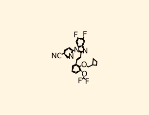 N#Cc1ccc(-n2c(C=Cc3cccc(OC(F)F)c3OCC3CCC3)nc3cc(F)c(F)cc32)nc1